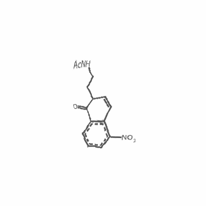 CC(=O)NCCC1C=Cc2c(cccc2[N+](=O)[O-])C1=O